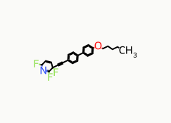 CCCCCOc1ccc(-c2ccc(C#CC3(F)C=CC(F)N=C3F)cc2)cc1